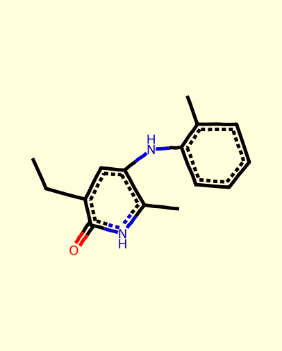 CCc1cc(Nc2ccccc2C)c(C)[nH]c1=O